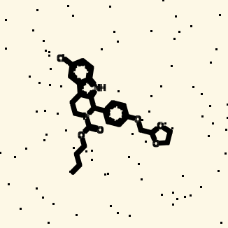 CCCCOC(=O)N1CCc2c([nH]c3ccc(Cl)cc23)C1c1ccc(OCC2OCCO2)cc1